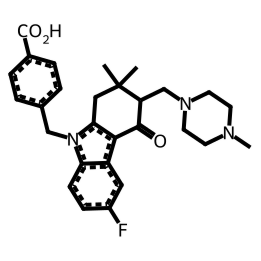 CN1CCN(CC2C(=O)c3c(n(Cc4ccc(C(=O)O)cc4)c4ccc(F)cc34)CC2(C)C)CC1